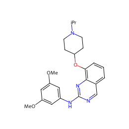 COc1cc(Nc2ncc3cccc(OC4CCN(C(C)C)CC4)c3n2)cc(OC)c1